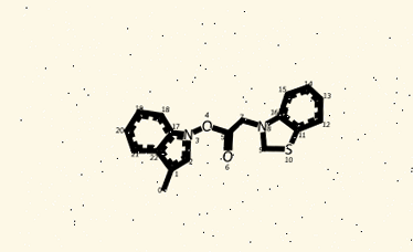 Cc1cn(OC(=O)CN2CSc3ccccc32)c2ccccc12